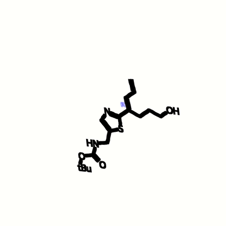 C=C/C=C(\CCCO)c1ncc(CNC(=O)OC(C)(C)C)s1